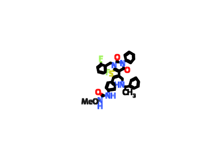 CONC(=O)Nc1ccc(-c2sc3c(c2CN[C@H](C)c2ccccc2)c(=O)n(-c2ccccc2)c(=O)n3Cc2c(F)cccc2F)cc1